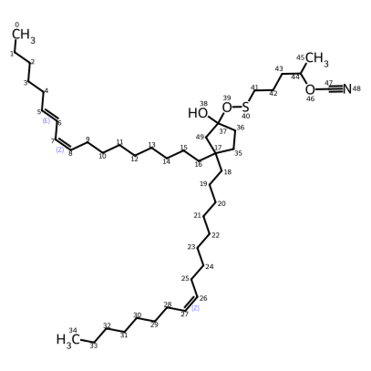 CCCCC/C=C/C=C\CCCCCCCCC1(CCCCCCCC/C=C\CCCCCCC)CCC(O)(OSCCCC(C)OC#N)C1